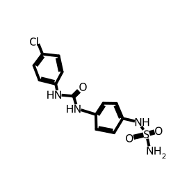 NS(=O)(=O)Nc1ccc(NC(=O)Nc2ccc(Cl)cc2)cc1